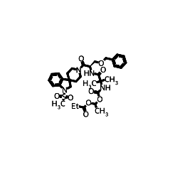 CCC(=O)OC(C)OC(=O)NC(C)(C)C(=O)N[C@H](COCc1ccccc1)C(=O)N1CCC2(CC1)CN(S(C)(=O)=O)c1ccccc12